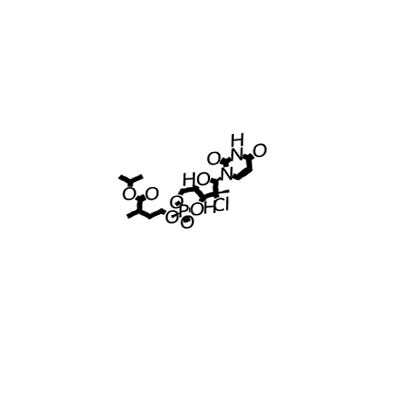 CC(C)OC(=O)C(C)CCO[P@@]1(=O)OC[C@H]2O[C@@H](n3ccc(=O)[nH]c3=O)[C@](C)(Cl)[C@@H]2O1